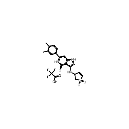 Cc1ccc(-c2cc3[nH]nc(NC4C=CS(=O)(=O)C4)c3c(=O)[nH]2)cc1C.O=C(O)C(F)(F)F